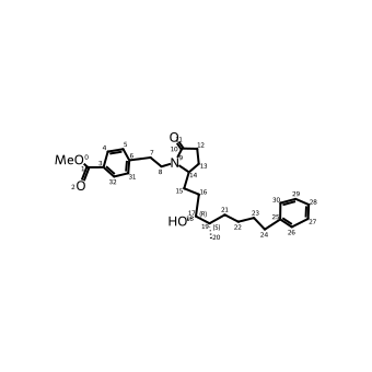 COC(=O)c1ccc(CCN2C(=O)CCC2CC[C@@H](O)[C@@H](C)CCCCc2ccccc2)cc1